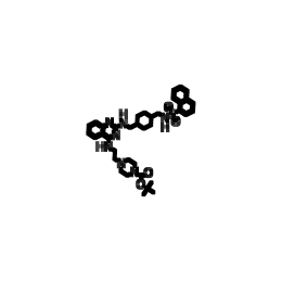 CC(C)(C)OC(=O)N1CCN(CCNc2nc(NCC3CCC(CNS(=O)(=O)c4cccc5ccccc45)CC3)nc3ccccc23)CC1